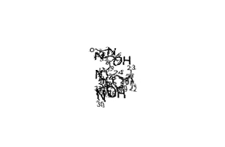 Cc1cnc(C(C)(O)CCc2cncc([C@@](O)(c3ccc(C(C)C)cc3)C3(C)CN(C)C3)c2)cn1